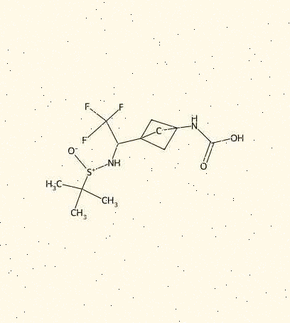 CC(C)(C)[S+]([O-])NC(C(F)(F)F)C12CC(NC(=O)O)(C1)C2